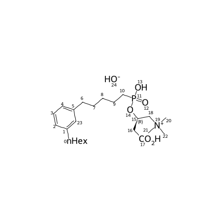 CCCCCCc1cccc(CCCCCP(=O)(O)O[C@H](CC(=O)O)C[N+](C)(C)C)c1.[OH-]